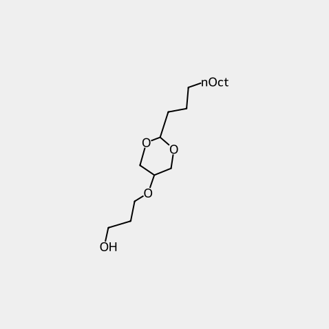 CCCCCCCCCCCC1OCC(OCCCO)CO1